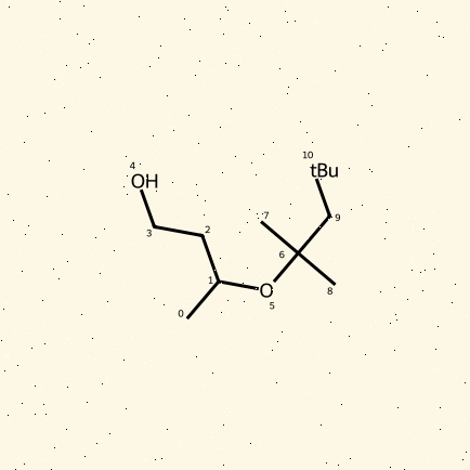 CC(CCO)OC(C)(C)CC(C)(C)C